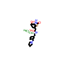 Cl.Cl.O=c1[nH]c2c(O)ccc(CC(O)NCCc3cccc(CN4CCCC4)c3)c2s1